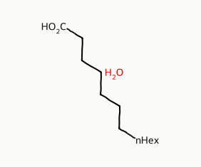 CCCCCCCCCCCCC(=O)O.O